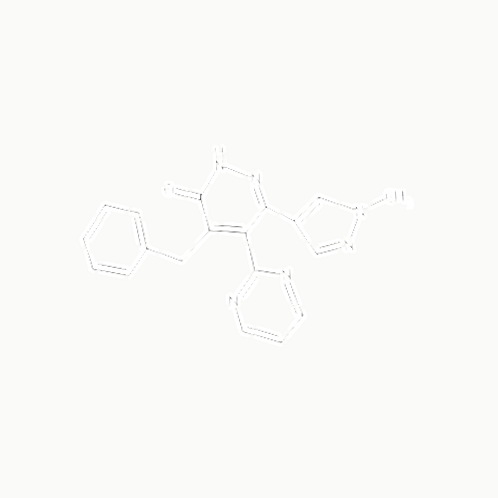 Cn1cc(-c2n[nH]c(=O)c(Cc3ccccc3)c2-c2ncccn2)cn1